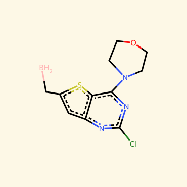 BCc1cc2nc(Cl)nc(N3CCOCC3)c2s1